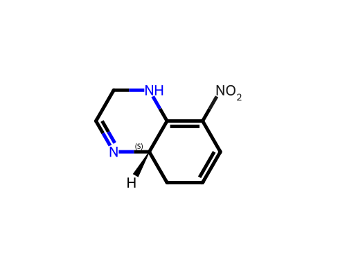 O=[N+]([O-])C1=C2NCC=N[C@H]2CC=C1